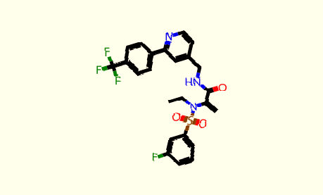 C=C(C(=O)NCc1ccnc(-c2ccc(C(F)(F)F)cc2)c1)N(CC)S(=O)(=O)c1cccc(F)c1